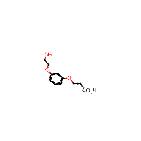 O=C(O)CCOc1cccc(OCCO)c1